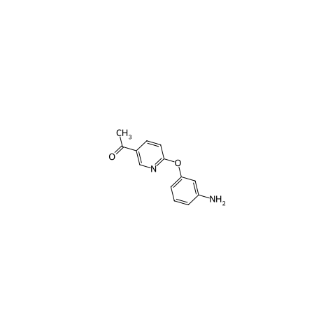 CC(=O)c1ccc(Oc2cccc(N)c2)nc1